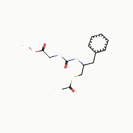 COC(=O)CNC(=O)NC(CSC(C)=O)Cc1ccccc1